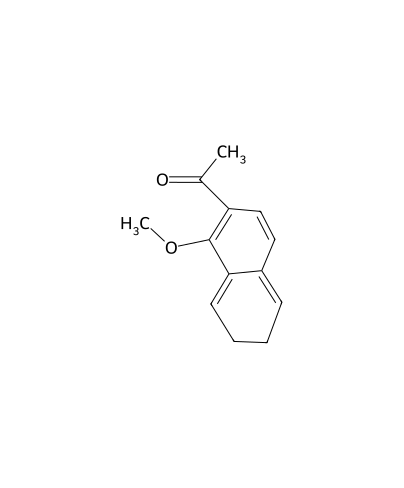 COc1c(C(C)=O)ccc2c1=CCCC=2